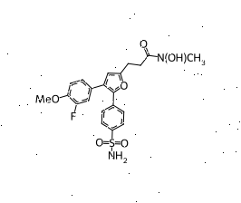 COc1ccc(-c2cc(CCC(=O)N(C)O)oc2-c2ccc(S(N)(=O)=O)cc2)cc1F